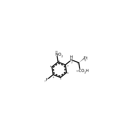 CC[C@@H](Nc1ccc(F)cc1[N+](=O)[O-])C(=O)O